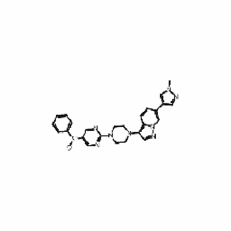 Cn1cc(-c2ccc3c(N4CCN(c5ncc([S+]([O-])c6ccccc6)cn5)CC4)cnn3c2)cn1